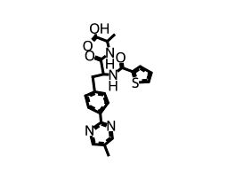 Cc1cnc(-c2ccc(CC(NC(=O)c3cccs3)C(=O)NC(C)C(=O)O)cc2)nc1